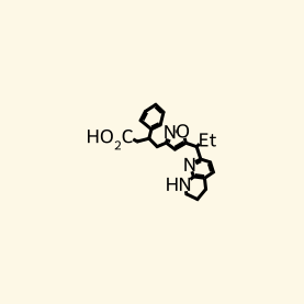 CCC(c1ccc2c(n1)NCCC2)c1cc(CC(CC(=O)O)c2ccccc2)no1